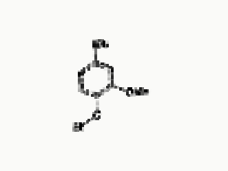 CCOc1ccc(C(C)(C)C)cc1OC